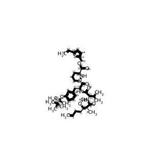 C=CCC[C@@H](OC)[C@@H](C)C(=O)N[C@H](C(=O)N[C@@H](Cc1cccc(O[Si](C)(C)C(C)(C)C)c1)C(=O)N1CCC[C@@H](C(=O)OCc2ccc(C=C)s2)N1)C(C)C